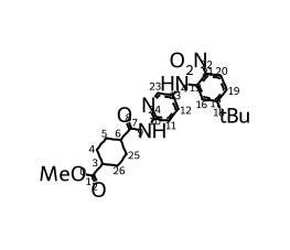 COC(=O)C1CCC(C(=O)Nc2ccc(Nc3cc(C(C)(C)C)ccc3[N+](=O)[O-])cn2)CC1